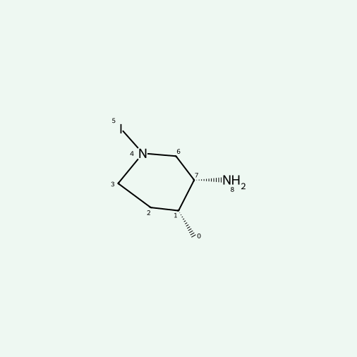 C[C@@H]1CCN(I)C[C@@H]1N